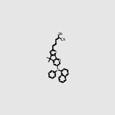 CC1(C)c2cc(N(c3ccccc3)c3cccc4ccccc34)cnc2-c2sc(/C=C/C=C(C#N)C#N)cc21